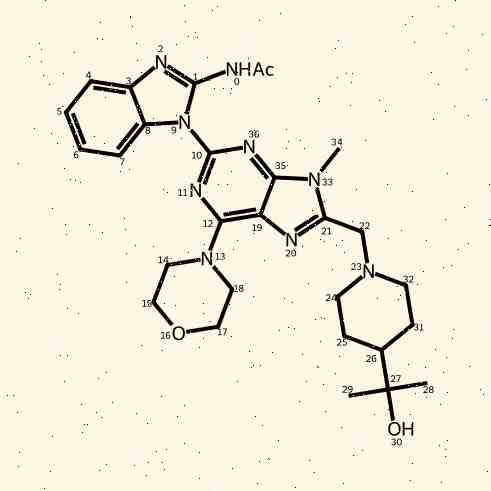 CC(=O)Nc1nc2ccccc2n1-c1nc(N2CCOCC2)c2nc(CN3CCC(C(C)(C)O)CC3)n(C)c2n1